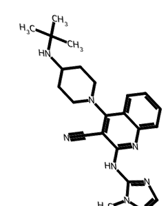 Cn1ncnc1Nc1nc2ccccc2c(N2CCC(NC(C)(C)C)CC2)c1C#N